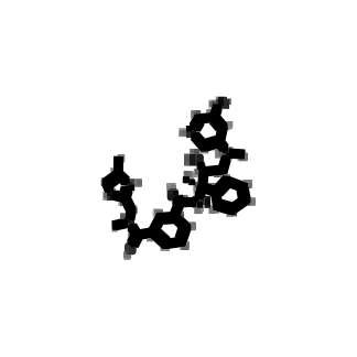 Cc1csc(CN(C)C(=O)c2cccc(C(=O)N[C@](C)(c3ccccc3)[C@@H](O)CN(C)c3cncc(C(C)C)c3)c2)n1